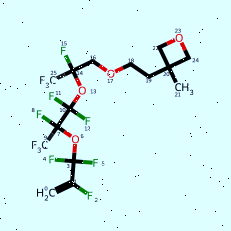 C=C(F)C(F)(F)OC(F)(C(F)(F)F)C(F)(F)OC(F)(COCCC1(C)COC1)C(F)(F)F